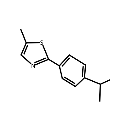 Cc1cnc(-c2ccc(C(C)C)cc2)s1